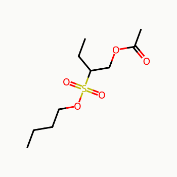 CCCCOS(=O)(=O)C(CC)COC(C)=O